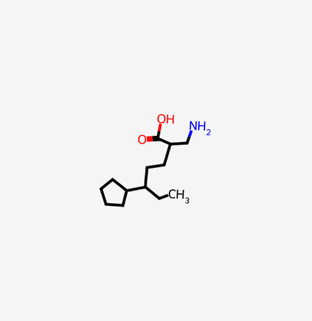 CCC(CCC(CN)C(=O)O)C1CCCC1